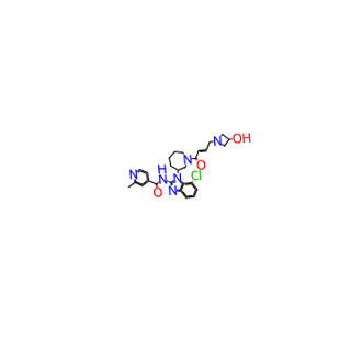 Cc1cc(C(=O)Nc2nc3cccc(Cl)c3n2C2CCCCN(C(=O)C=CCN3CC(O)C3)C2)ccn1